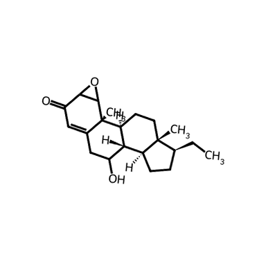 CC[C@H]1CC[C@H]2[C@@H]3C(O)CC4=CC(=O)C5OC5[C@]4(C)[C@H]3CC[C@]12C